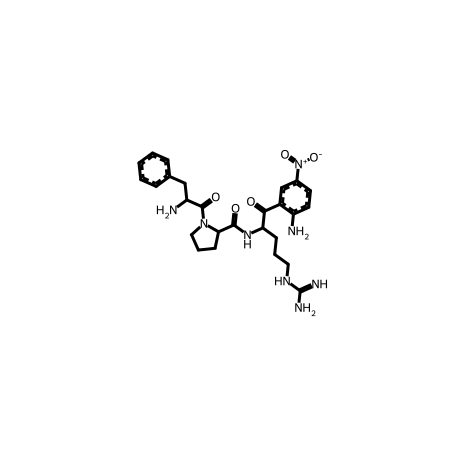 N=C(N)NCCCC(NC(=O)C1CCCN1C(=O)C(N)Cc1ccccc1)C(=O)c1cc([N+](=O)[O-])ccc1N